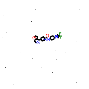 O=C(NC1CCC(N2CC(F)(F)C2)CC1)c1ccc(-c2nccc3occc23)cc1